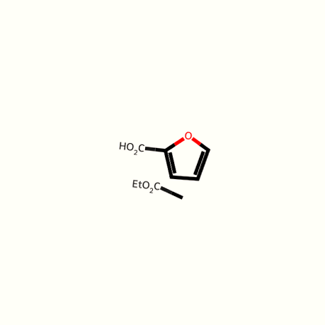 CCOC(C)=O.O=C(O)c1ccco1